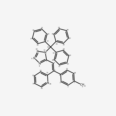 Cc1ccc(C(=Cc2nnnn2C(c2ccccc2)(c2ccccc2)c2ccccc2)c2ccccn2)cc1